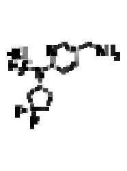 CN(c1ccc(CN)cn1)[C@H]1CCC(F)(F)C1.Cl